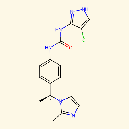 Cc1nccn1[C@@H](C)c1ccc(NC(=O)Nc2n[nH]cc2Cl)cc1